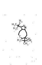 CC(C)(C)N1N=NC2CCC(C)(C(C)(C)C)CCCCC21